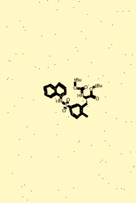 Cc1ccc(S(=O)(=O)Nc2cccc3ccccc23)cc1C[C@H](NC(=O)OC(C)(C)C)C(=O)OC(C)(C)C